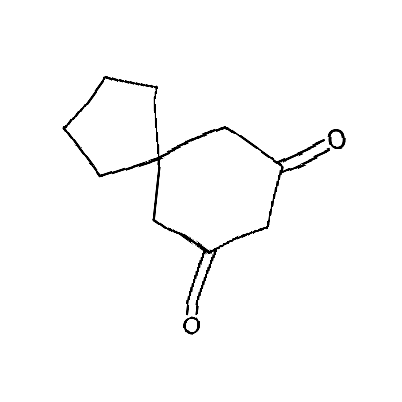 O=C1CC(=O)CC2(CCCC2)C1